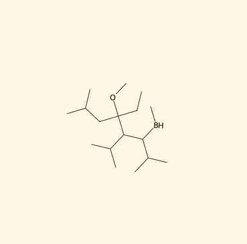 CBC(C(C)C)C(C(C)C)C(CC)(CC(C)C)OC